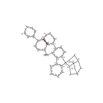 c1ccc(-c2ccc(Nc3c(-c4ccccc4)ccc4c3-c3ccccc3C43C4CC5CC6CC3C64C5)cc2)cc1